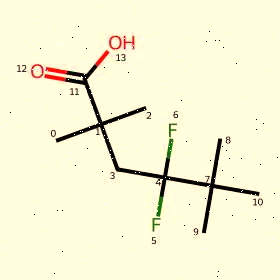 CC(C)(CC(F)(F)C(C)(C)C)C(=O)O